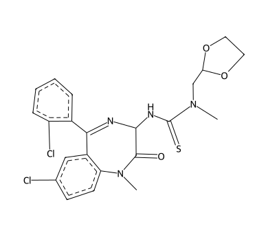 CN(CC1OCCO1)C(=S)NC1N=C(c2ccccc2Cl)c2cc(Cl)ccc2N(C)C1=O